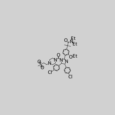 CCOc1cc(C(C)(C)C(=O)N(CC)CC)ccc1C1=NC(c2ccc(Cl)cc2)C(c2ccc(Cl)cc2)N1C(=O)N1CCN(CCS(C)(=O)=O)CC1